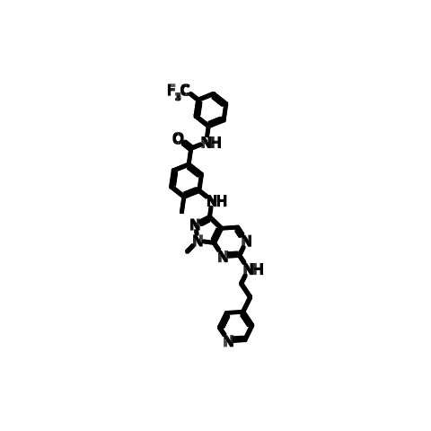 Cc1ccc(C(=O)Nc2cccc(C(F)(F)F)c2)cc1Nc1nn(C)c2nc(NCCc3ccncc3)ncc12